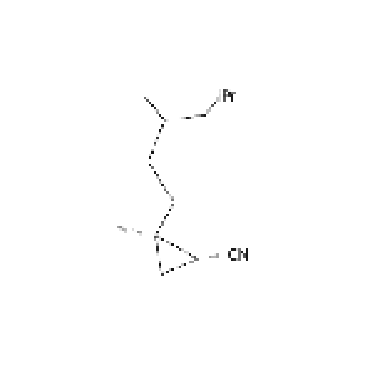 CC(C)CC(C)CC[C@]1(C)C[C@H]1C#N